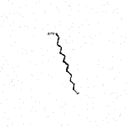 CCCCCCCCCCCCCCCCCC[CH]S